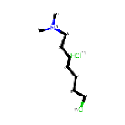 CN(C)CCCCCCCCl.Cl